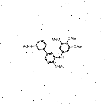 COc1cc(Nc2nc(-c3cccc(NC(C)=O)c3)cnc2NC(C)=O)cc(OC)c1OC